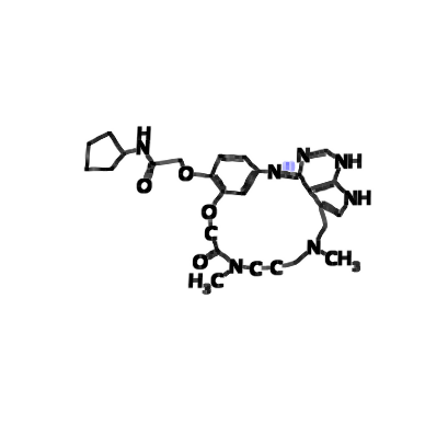 CN1CCCN(C)C(=O)COc2cc(ccc2OCC(=O)NC2CCCC2)/N=C2/N=CNc3[nH]cc(c32)C1